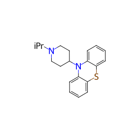 CC(C)N1CCC(N2c3ccccc3Sc3ccccc32)CC1